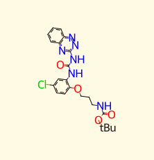 CC(C)(C)OC(=O)NCCCOc1ccc(Cl)cc1NC(=O)Nc1nnc2ccccc2n1